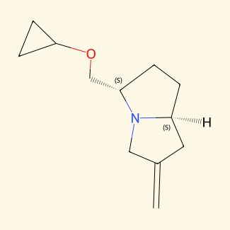 C=C1C[C@@H]2CC[C@@H](COC3CC3)N2C1